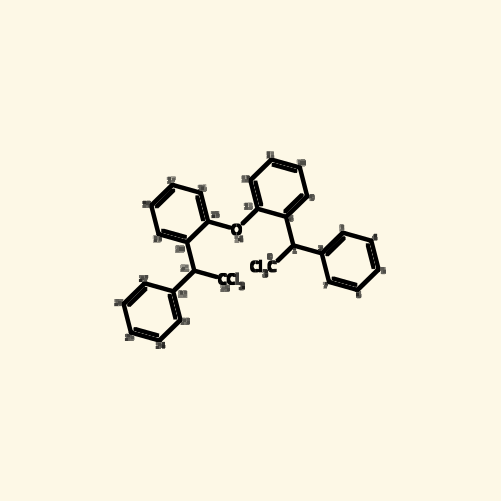 ClC(Cl)(Cl)C(c1ccccc1)c1ccccc1Oc1ccccc1C(c1ccccc1)C(Cl)(Cl)Cl